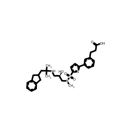 CN(C[C@H](O)CNC(C)(C)CC1Cc2ccccc2C1)S(=O)(=O)c1ccc(-c2cccc(CCC(=O)O)c2)s1